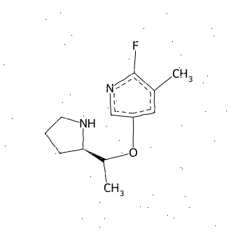 Cc1cc(OC(C)[C@H]2CCCN2)cnc1F